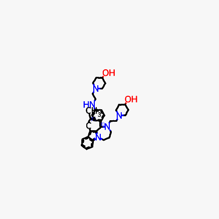 C/C1=c2/cc(NCCN3CCC(O)CC3)cc/c2=C2/c3c(c4ccccc4n3CCCN2CCN2CCC(O)CC2)CC1